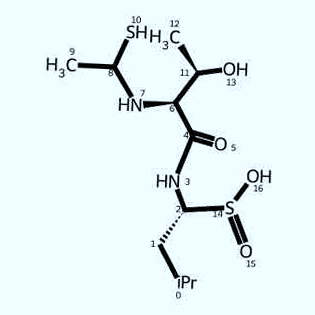 CC(C)C[C@H](NC(=O)[C@@H](NC(C)S)[C@@H](C)O)S(=O)O